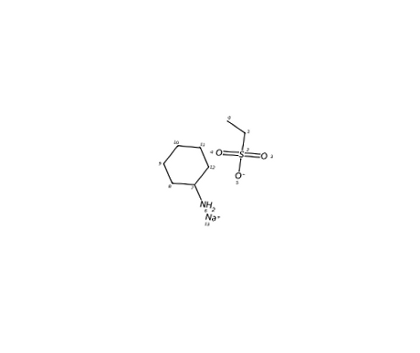 CCS(=O)(=O)[O-].NC1CCCCC1.[Na+]